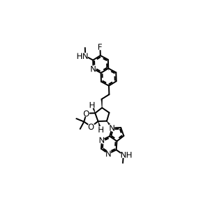 CNc1nc2cc(CC[C@H]3C[C@@H](n4ccc5c(NC)ncnc54)[C@@H]4OC(C)(C)O[C@H]34)ccc2cc1F